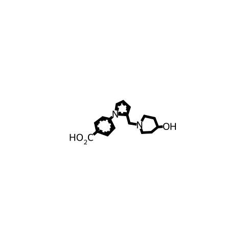 O=C(O)c1ccc(-n2cccc2CN2CCC(O)CC2)cc1